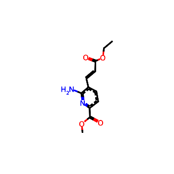 CCOC(=O)C=Cc1ccc(C(=O)OC)nc1N